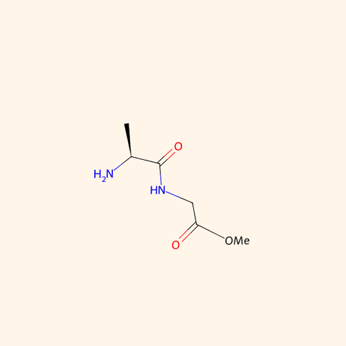 COC(=O)CNC(=O)[C@H](C)N